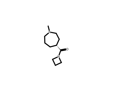 CN1CCC[C@@H](C(=O)N2CCC2)CC1